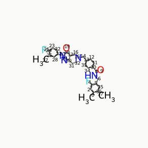 Cc1cc(F)c(CNC(=O)c2ccc(CN3C=C4C(=O)N(c5ccc(F)c(C)c5)N=C4CC3)cc2)cc1C